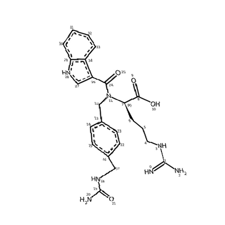 N=C(N)NCCC[C@H](C(=O)O)N(Cc1ccc(CNC(N)=O)cc1)C(=O)c1c[nH]c2ccccc12